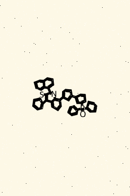 O=P(c1ccccc1)(c1ccccc1)c1cccc(-c2cccc(-c3cccc4c3nc(-c3cccc5ccccc35)c3sc5ccccc5c34)c2)c1